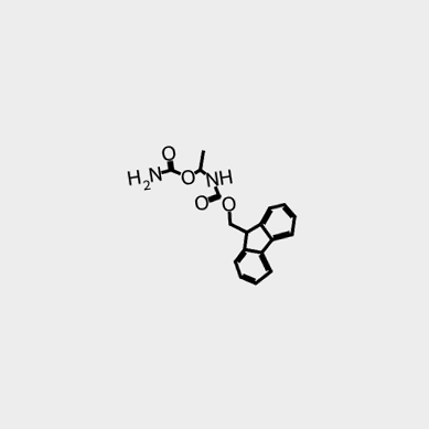 CC(NC(=O)OCC1c2ccccc2-c2ccccc21)OC(N)=O